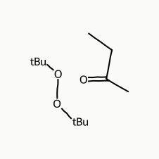 CC(C)(C)OOC(C)(C)C.CCC(C)=O